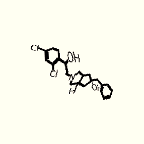 OC(CN1CC2C[C@@](O)(Cc3ccccc3)C[C@@H]2C1)c1ccc(Cl)cc1Cl